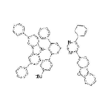 CC(C)(C)c1ccc(-c2cc(-c3nc(-c4ccc5c(c4)oc4ccccc45)cc(C4C=CC=CC4)n3)cc(-c3ccccc3)c2-n2c3ccc(-c4ccccc4)cc3c3cc(-c4ccccc4)ccc32)cc1